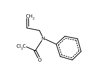 C=CCN(C(=O)C(Cl)(Cl)Cl)c1ccccc1